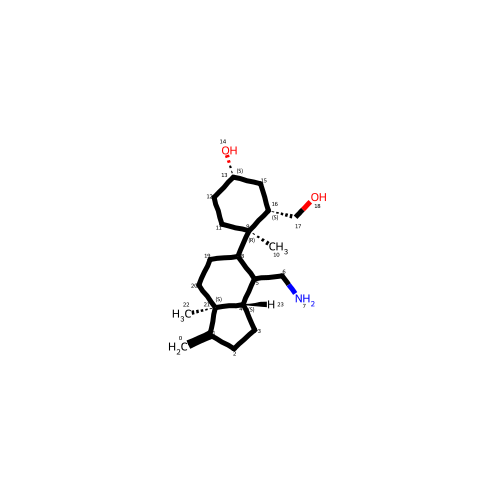 C=C1CC[C@H]2C(CN)C([C@@]3(C)CC[C@H](O)C[C@@H]3CO)CC[C@]12C